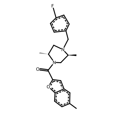 Cc1ccc2oc(C(=O)N3C[C@H](C)N(Cc4ccc(F)cc4)C[C@H]3C)cc2c1